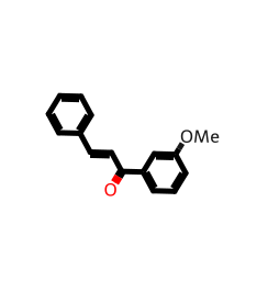 COc1cccc(C(=O)C=Cc2ccccc2)c1